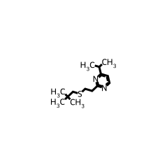 CC(C)c1ccnc(CCSCC(C)(C)C)n1